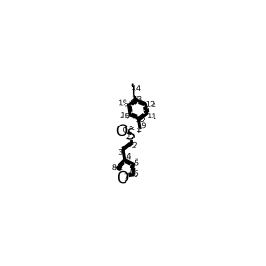 [O-][S+](/C=C/c1ccoc1)Cc1ccc(I)cc1